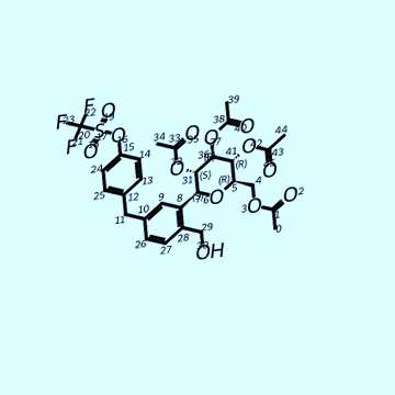 CC(=O)OC[C@H]1O[C@@H](c2cc(Cc3ccc(OS(=O)(=O)C(F)(F)F)cc3)ccc2CO)[C@H](OC(C)=O)[C@@H](OC(C)=O)[C@@H]1OC(C)=O